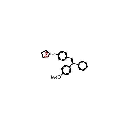 C1CC2CC1O2.COc1ccc(C=C(c2ccccc2)c2ccc(OC)cc2)cc1